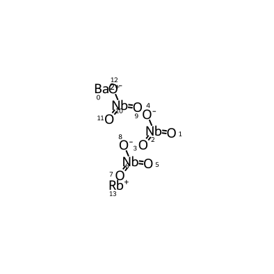 [Ba+2].[O]=[Nb](=[O])[O-].[O]=[Nb](=[O])[O-].[O]=[Nb](=[O])[O-].[Rb+]